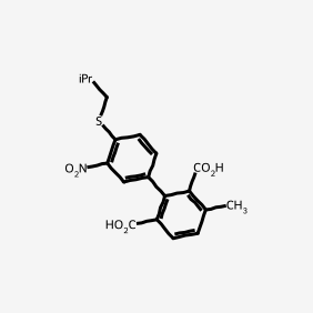 Cc1ccc(C(=O)O)c(-c2ccc(SCC(C)C)c([N+](=O)[O-])c2)c1C(=O)O